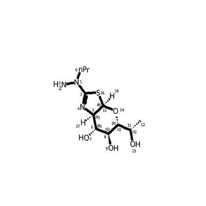 CCCN(N)C1=N[C@@H]2[C@@H](O)[C@H](O)[C@@H]([C@H](C)O)O[C@@H]2S1